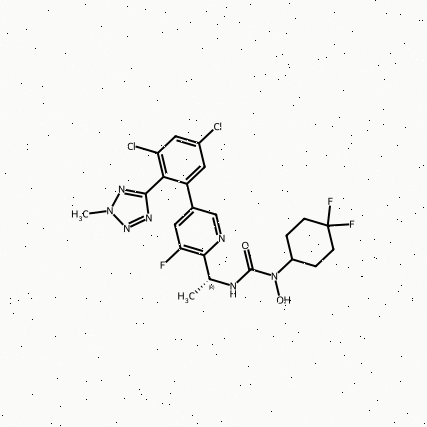 C[C@@H](NC(=O)N(O)C1CCC(F)(F)CC1)c1ncc(-c2cc(Cl)cc(Cl)c2-c2nnn(C)n2)cc1F